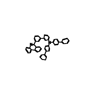 C1=CC(c2ccc(N(c3ccc(-c4ccccc4)cc3)c3cccc(-c4cccc(-c5nc6ccccc6c6ccccc56)c4)c3)cc2)=CCC1